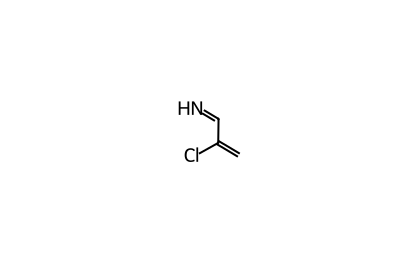 C=C(Cl)C=N